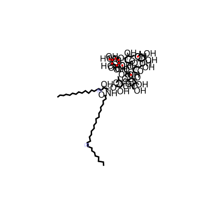 CCCCCCCC/C=C\CCCCCCCCCCCCCCCC(=O)N[C@@H](CO[C@@H]1OC(CO)[C@@H](O[C@@H]2OC(CO)[C@H](O)[C@H](O[C@@H]3OC(CO)[C@@H](O[C@H]4OC(C)[C@@H](O)C(O)[C@@H]4O)[C@H](O[C@@H]4OC(CO)[C@H](O)[C@H](O[C@H]5OC(CO)[C@H](O)[C@H](O)C5O)C4O[C@H]4OC(C)[C@@H](O)C(O)[C@@H]4O)C3NC(C)=O)C2O)[C@H](O)C1O)[C@H](O)/C=C/CCCCCCCCCCCCC